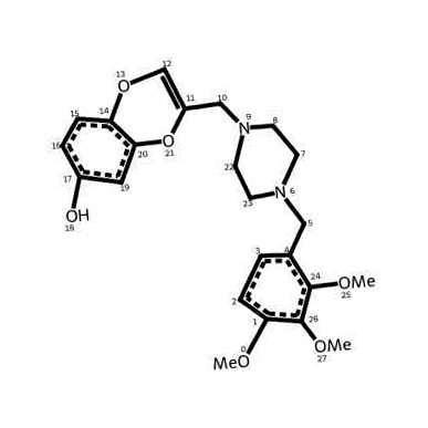 COc1ccc(CN2CCN(CC3=COc4ccc(O)cc4O3)CC2)c(OC)c1OC